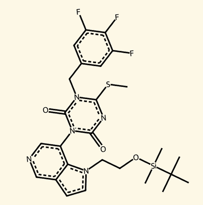 CSc1nc(=O)n(-c2cncc3ccn(CCO[Si](C)(C)C(C)(C)C)c23)c(=O)n1Cc1cc(F)c(F)c(F)c1